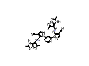 Cc1nn2nc(C)c(/N=N/c3c(C#N)cnn3-c3cc(-n4ncc(C#N)c4/N=N/c4c(C)nn5nc(C)[nH]c45)ncn3)c2[nH]1